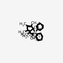 CCC(C)[Si](c1ccccc1)(c1ccccc1)C1(C)C(C)=C(C)C(C)=[C]1[Ti]([CH3])([CH3])[CH3]